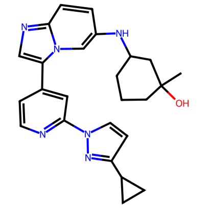 CC1(O)CCCC(Nc2ccc3ncc(-c4ccnc(-n5ccc(C6CC6)n5)c4)n3c2)C1